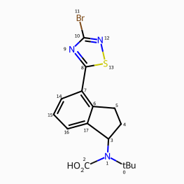 CC(C)(C)N(C(=O)O)C1CCc2c(-c3nc(Br)ns3)cccc21